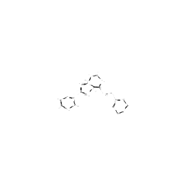 c1ccc(CNc2nccc3[nH]c(-c4cccnc4)nc23)cc1